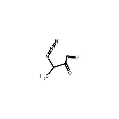 CC(N=[N+]=[N-])C(=O)C=O